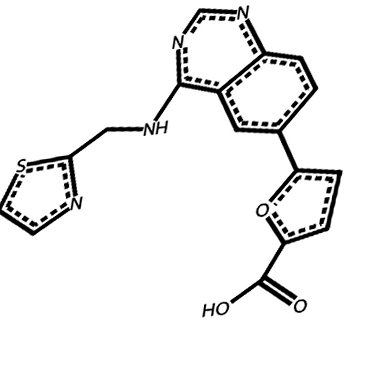 O=C(O)c1ccc(-c2ccc3ncnc(NCc4nccs4)c3c2)o1